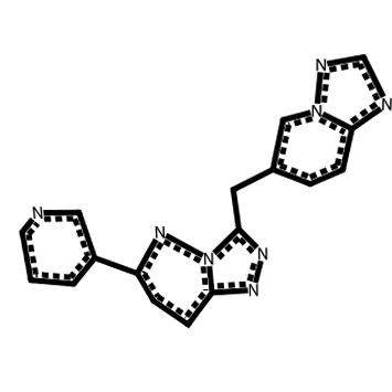 c1cncc(-c2ccc3nnc(Cc4ccc5ncnn5c4)n3n2)c1